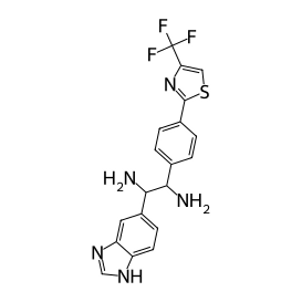 NC(c1ccc(-c2nc(C(F)(F)F)cs2)cc1)C(N)c1ccc2[nH]cnc2c1